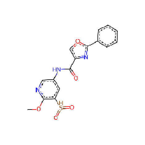 COc1ncc(NC(=O)c2coc(-c3ccccc3)n2)cc1[SH](=O)=O